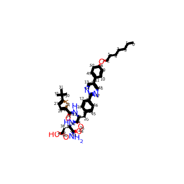 CCCCCCCOc1ccc(-c2cnc(-c3ccc(C[C@H](NC(=O)c4ccc(C(C)(C)C)s4)C(=O)N[C@@H](CC(=O)O)C(N)=O)cc3)nc2)cc1